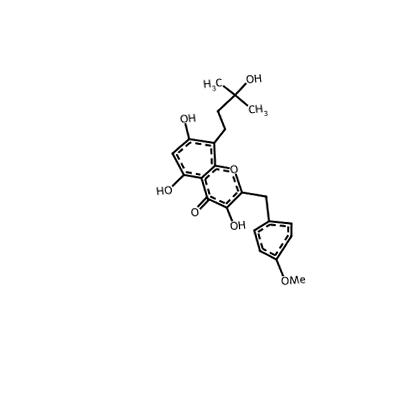 COc1ccc(Cc2oc3c(CCC(C)(C)O)c(O)cc(O)c3c(=O)c2O)cc1